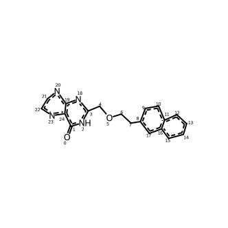 O=c1[nH]c(COCCc2ccc3ccccc3c2)nc2nccnc12